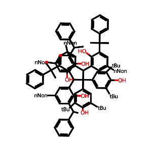 CCCCCCCCCc1cc(C(C)c2ccccc2)c(O)c(C(c2cc(CCCCCCCCC)cc(C(C)c3ccccc3)c2O)C(c2cc(C(C)(C)C)c(O)c(C(C)(C)C)c2)(c2cc(C(C)(C)C)c(O)c(C(C)(C)C)c2)C(c2cc(CCCCCCCCC)cc(C(C)(C)c3ccccc3)c2O)c2cc(CCCCCCCCC)cc(C(C)(C)c3ccccc3)c2O)c1